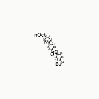 CCCCCCCCc1cnc(-c2ccc(C(=O)Oc3ccc(CC(C)CC)cc3)cc2)nc1